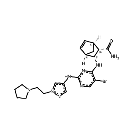 NC(=O)[C@@H]1[C@H](Nc2nc(Nc3cnn(CCN4CCCC4)c3)ncc2Br)[C@H]2C=C[C@@H]1C2